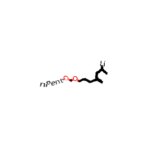 [Li][CH](C)CC(C)CCCOCOCCCCC